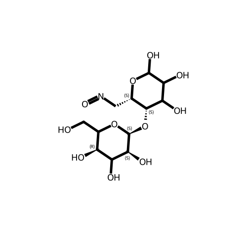 O=NC[C@@H]1OC(O)C(O)C(O)[C@@H]1O[C@@H]1OC(CO)[C@H](O)C(O)[C@@H]1O